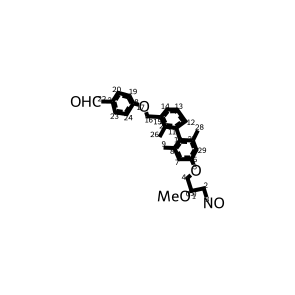 CO[C@@H](CN=O)COc1cc(C)c(-c2cccc(COc3ccc(C=O)cc3)c2C)c(C)c1